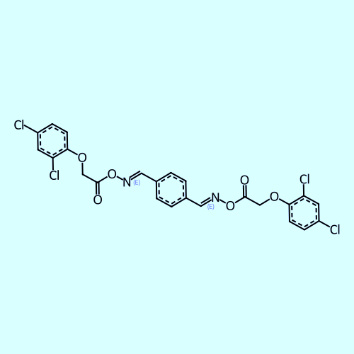 O=C(COc1ccc(Cl)cc1Cl)O/N=C/c1ccc(/C=N/OC(=O)COc2ccc(Cl)cc2Cl)cc1